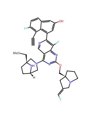 C#Cc1c(F)ccc2cc(O)cc(-c3ncc4c(N5C[C@@H]6CC[C@](COC)(C5)N6)nc(OC[C@@]56CCCN5C/C(=C\F)C6)nc4c3F)c12